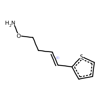 NOCC/C=C/c1cccs1